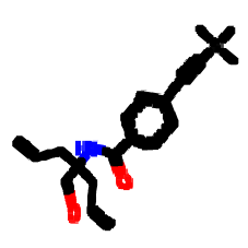 C=CCC(C=O)(CC=C)NC(=O)c1ccc(C#C[Si](C)(C)C)cc1